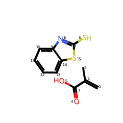 C=C(C)C(=O)O.Sc1nc2ccccc2s1